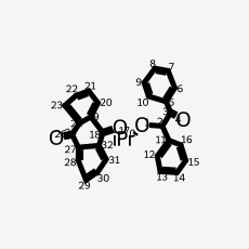 CC(C)OC(C(=O)c1ccccc1)c1ccccc1.O=C1c2ccccc2C(=O)c2ccccc21